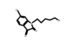 O=C1C(=O)N(CCCCCBr)c2cc(Cl)ccc21